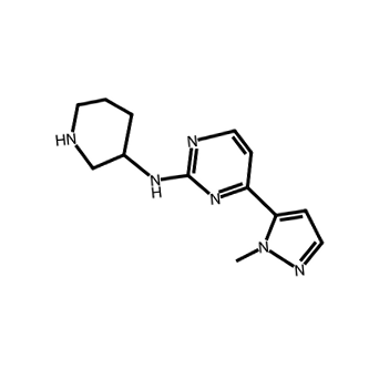 Cn1nccc1-c1ccnc(NC2CCCNC2)n1